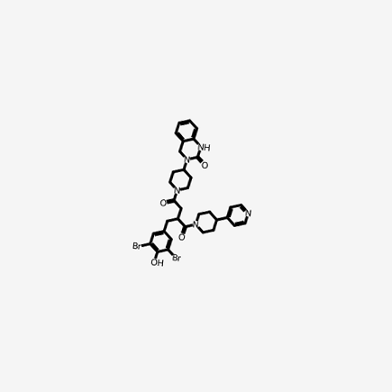 O=C(CC(Cc1cc(Br)c(O)c(Br)c1)C(=O)N1CCC(c2ccncc2)CC1)N1CCC(N2Cc3ccccc3NC2=O)CC1